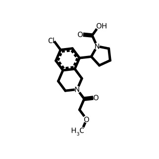 COCC(=O)N1CCc2cc(Cl)cc(C3CCCN3C(=O)O)c2C1